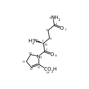 NC(=O)CC[C@H](N)C(=O)N1CCC=C1C(=O)O